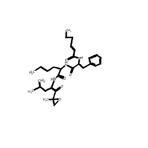 CCCCCC(=O)NC(Cc1ccccc1)C(=O)NC(CCCC)C(=O)NC(CC(C)C)C(=O)C1(C)CO1